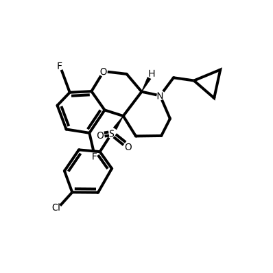 O=S(=O)(c1ccc(Cl)cc1)[C@]12CCCN(CC3CC3)[C@H]1COc1c(F)ccc(F)c12